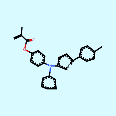 C=C(C)C(=O)Oc1ccc(N(c2ccccc2)c2ccc(-c3ccc(C)cc3)cc2)cc1